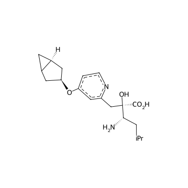 CC(C)C[C@H](N)[C@](O)(Cc1cc(O[C@H]2CC3C[C@H]3C2)ccn1)C(=O)O